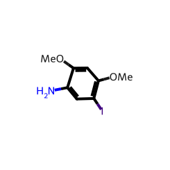 COc1cc(OC)c(I)cc1N